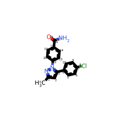 Cc1cc(-c2ccc(Cl)cc2)n(-c2ccc(C(N)=O)cc2)n1